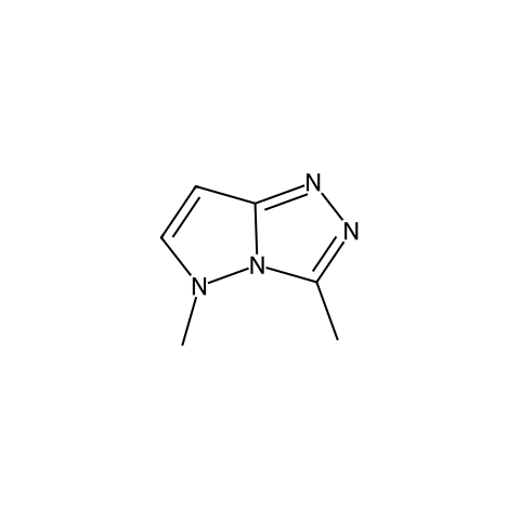 Cc1nnc2ccn(C)n12